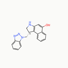 Oc1cc2c(c3ccccc13)[C@H](Cn1nnc3ccccc31)CN2